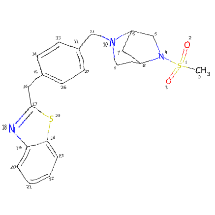 CS(=O)(=O)N1CC2CC1CN2Cc1ccc(Cc2nc3ccccc3s2)cc1